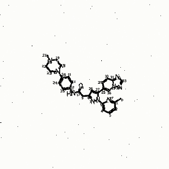 Cc1cccc(-n2nc(CC(=O)Nc3ccc(N4CCN(C)CC4)cc3)cc2-c2ccc3ncnn3c2)n1